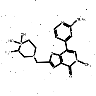 CC(=O)Nc1cc(-c2cn(C)c(=O)c3cc(CN4CCS(O)(O)C(C)C4)oc23)ccn1